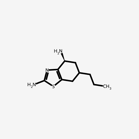 CCCC1Cc2sc(N)nc2[C@@H](N)C1